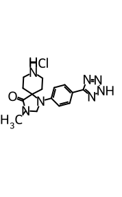 CN1CN(c2ccc(-c3nn[nH]n3)cc2)C2(CCNCC2)C1=O.Cl